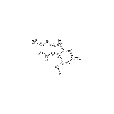 COc1nc(Cl)cc2[nH]c3cc(Br)cnc3c12